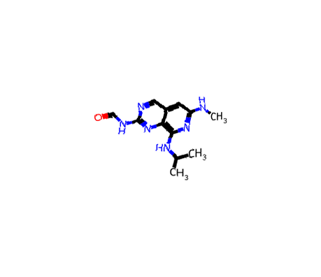 CNc1cc2cnc(NC=O)nc2c(NC(C)C)n1